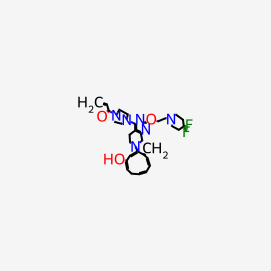 C=CC(=O)N1CCN(c2nc(OCCN3CCC(F)(F)CC3)nc3c2CCN(/C2=C/C(O)=C\C/C=C\C=C/C2=C)C3)CC1